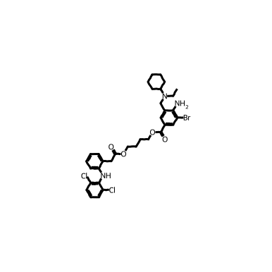 CCN(Cc1cc(C(=O)OCCCCOC(=O)Cc2ccccc2Nc2c(Cl)cccc2Cl)cc(Br)c1N)C1CCCCC1